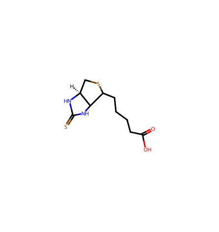 O=C(O)CCCCC1SC[C@@H]2NC(=S)NC12